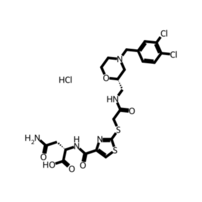 Cl.NC(=O)C[C@H](NC(=O)c1csc(SCC(=O)NC[C@H]2CN(Cc3ccc(Cl)c(Cl)c3)CCO2)n1)C(=O)O